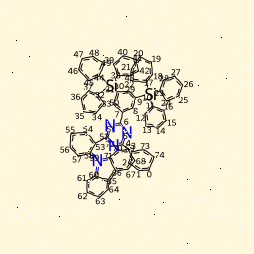 c1ccc(-c2nc(-c3cc([Si](c4ccccc4)(c4ccccc4)c4ccccc4)cc([Si](c4ccccc4)(c4ccccc4)c4ccccc4)c3)nc(-c3ccccc3-n3c4ccccc4c4ccccc43)n2)cc1